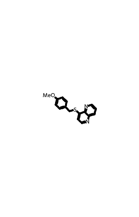 COc1ccc(CSc2ccnc3cccnc23)cc1